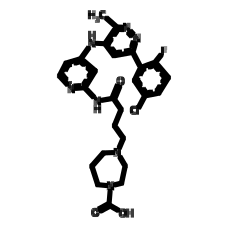 Cc1nnc(-c2cc(Cl)ccc2F)cc1Nc1ccnc(NC(=O)CCCN2CCCN(C(=O)O)CC2)c1